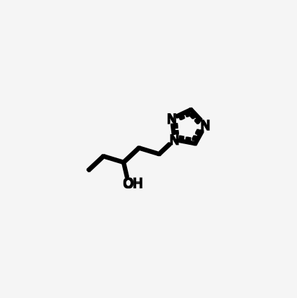 CCC(O)CCn1cncn1